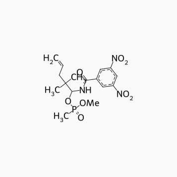 C=CCC(C)(C)C(NC(=O)c1cc([N+](=O)[O-])cc([N+](=O)[O-])c1)OP(C)(=O)OC